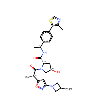 Cc1ncsc1-c1ccc([C@H](C)NC(=O)[C@@H]2C[C@@H](O)CN2C(=O)[C@H](c2cc(N3CC(C=O)C3)no2)C(C)C)cc1